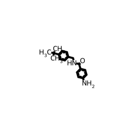 CC(C)(C)c1ccc(CNC(=O)c2ccc(N)cc2)cc1